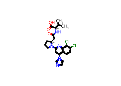 CC(C)[C@H](NC(=O)C[C@@H]1CCCN1c1cc(-n2ccnc2)c2ccc(Cl)c(Cl)c2n1)C(=O)O